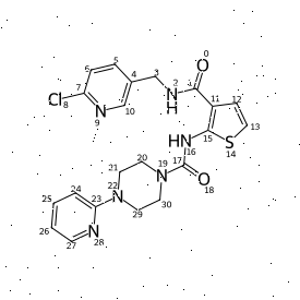 O=C(NCc1ccc(Cl)nc1)c1ccsc1NC(=O)N1CCN(c2ccccn2)CC1